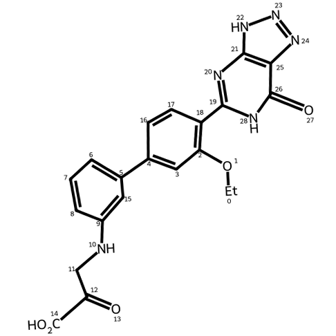 CCOc1cc(-c2cccc(NCC(=O)C(=O)O)c2)ccc1-c1nc2[nH]nnc2c(=O)[nH]1